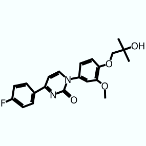 COc1cc(-n2ccc(-c3ccc(F)cc3)nc2=O)ccc1OCC(C)(C)O